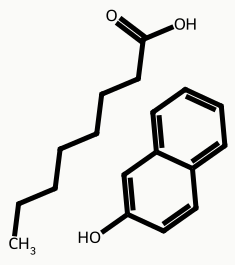 CCCCCCCC(=O)O.Oc1ccc2ccccc2c1